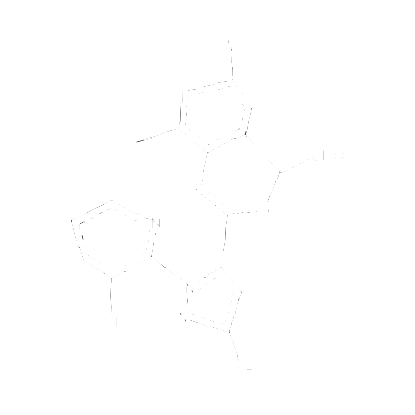 Cc1cc(Cl)cc2c1N=C(c1cc(C(F)(F)F)nn1-c1ncccc1Cl)OC2C=O